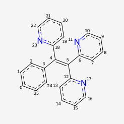 c1ccc(C(=C(c2ccccn2)c2ccccn2)c2ccccn2)cc1